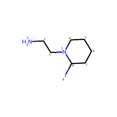 NCCN1CCCCC1I